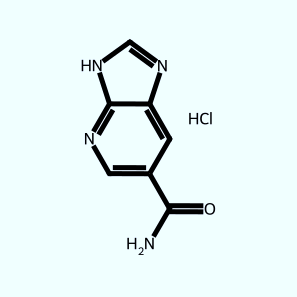 Cl.NC(=O)c1cnc2[nH]cnc2c1